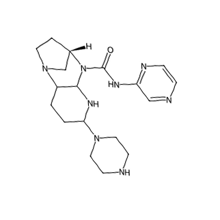 O=C(Nc1cnccn1)N1C2NC(N3CCNCC3)CCC2N2CC[C@H]1C2